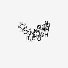 Cn1c(N2CC(Oc3ccccc3)C2)nc(C(=O)Nc2cnoc2)c(O)c1=O